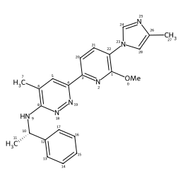 COc1nc(-c2cc(C)c(N[C@@H](C)c3ccccc3)nn2)ccc1-n1cnc(C)c1